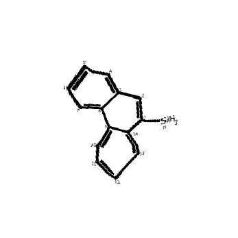 [SiH3]c1cc2ccccc2c2ccccc12